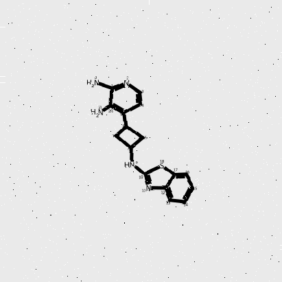 Nc1nccc(C2CC(Nc3nc4ccccc4s3)C2)c1N